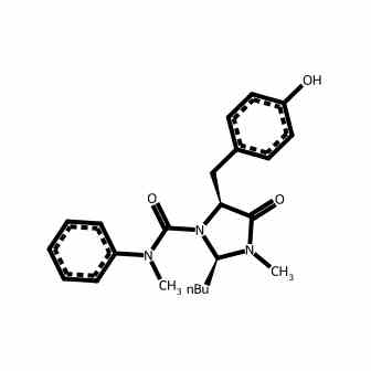 CCCC[C@@H]1N(C)C(=O)[C@H](Cc2ccc(O)cc2)N1C(=O)N(C)c1ccccc1